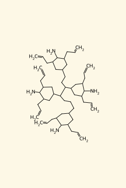 C=CCC1CC(CCCC(C2CC(CC=C)C(N)C(CC=C)C2)C(CCC2CC(CC=C)C(N)C(CC=C)C2)C2CC(CC=C)C(N)C(CC=C)C2)CC(CC=C)C1N